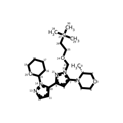 C[C@@H]1COCCN1c1cc(-c2ccnn2C2CCCCO2)nn1COCC[Si](C)(C)C